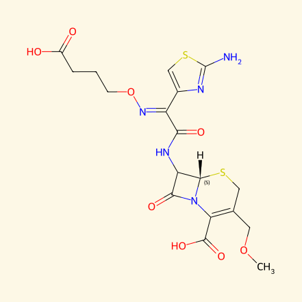 COCC1=C(C(=O)O)N2C(=O)C(NC(=O)C(=NOCCCC(=O)O)c3csc(N)n3)[C@@H]2SC1